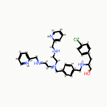 OCC(Cc1ccc(Cl)cc1)NCc1ccc(CN(CCNCc2ccccn2)CCNCc2ccccn2)cc1